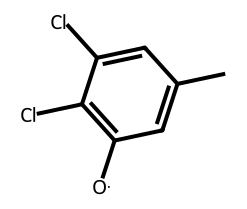 Cc1cc([O])c(Cl)c(Cl)c1